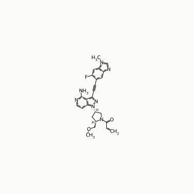 C=CC(=O)N1C[C@@H](n2nc(C#Cc3cc4ncn(C)c4cc3F)c3c(N)nccc32)C[C@@H]1COC